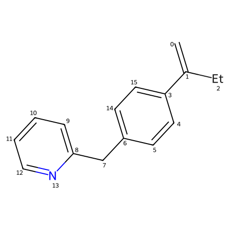 C=C(CC)c1ccc(Cc2ccccn2)cc1